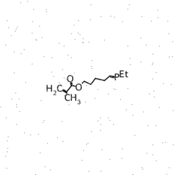 C=C(C)C(=O)OCCCCC=PCC